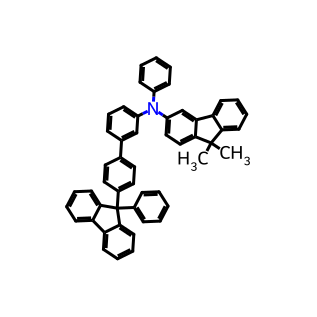 CC1(C)c2ccccc2-c2cc(N(c3ccccc3)c3cccc(-c4ccc(C5(c6ccccc6)c6ccccc6-c6ccccc65)cc4)c3)ccc21